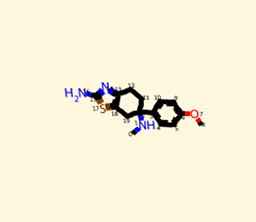 CNC1(c2ccc(OC)cc2)CCc2nc(N)sc2C1